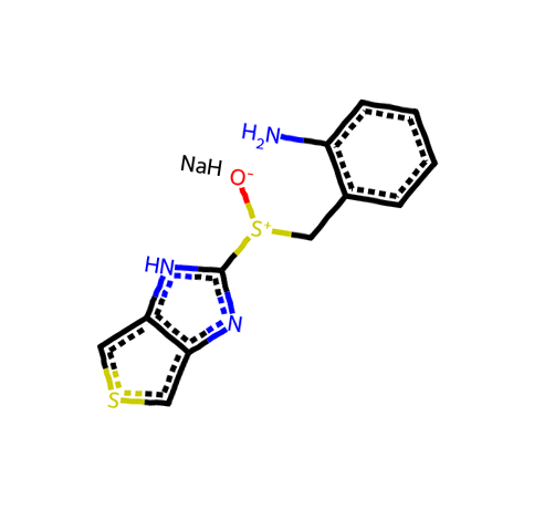 Nc1ccccc1C[S+]([O-])c1nc2cscc2[nH]1.[NaH]